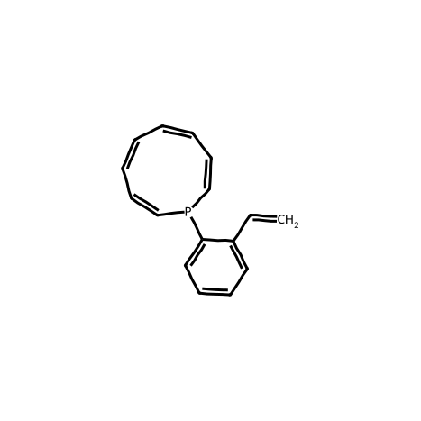 C=Cc1ccccc1-p1cccccccc1